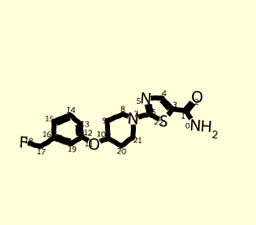 NC(=O)c1cnc(N2CCC(Oc3cccc(CF)c3)CC2)s1